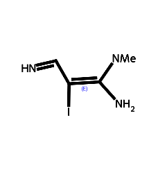 CN/C(N)=C(/I)C=N